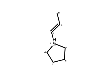 CC=C[SiH]1CCCC1